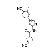 Cc1cc(-n2cnc(NC(=O)C3CCN(C#N)C3)c2)ccc1C#N